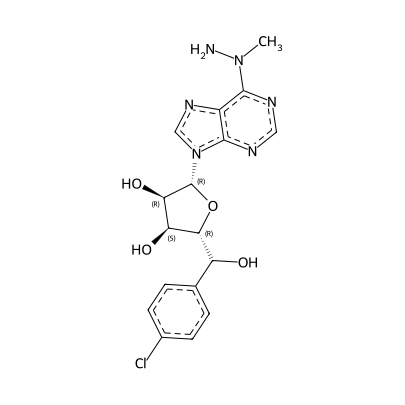 CN(N)c1ncnc2c1ncn2[C@@H]1O[C@H](C(O)c2ccc(Cl)cc2)[C@@H](O)[C@H]1O